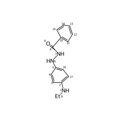 CCNc1ccc(NNC(=O)c2ccccc2)cc1